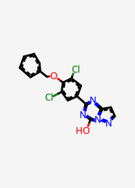 Oc1nc(-c2cc(Cl)c(OCc3ccccc3)c(Cl)c2)nc2ccnn12